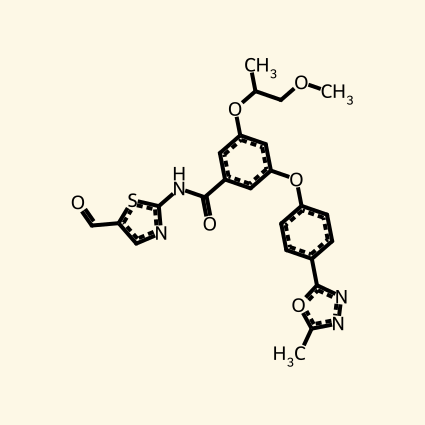 COCC(C)Oc1cc(Oc2ccc(-c3nnc(C)o3)cc2)cc(C(=O)Nc2ncc(C=O)s2)c1